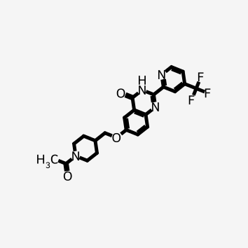 CC(=O)N1CCC(COc2ccc3nc(-c4cc(C(F)(F)F)ccn4)[nH]c(=O)c3c2)CC1